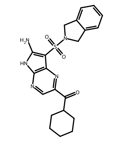 Nc1[nH]c2ncc(C(=O)C3CCCCC3)nc2c1S(=O)(=O)N1Cc2ccccc2C1